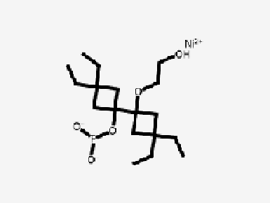 CCC1(CC)CC(OCCO)(C2(OP([O-])[O-])CC(CC)(CC)C2)C1.[Ni+2]